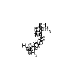 CCN(C)c1nc(N2CC[C@@H](Oc3ccc([C@H](C)NC(C)=O)cc3)C2)ncc1F